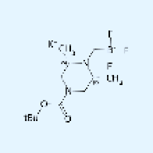 C[C@@H]1CN(C(=O)OC(C)(C)C)C[C@H](C)N1C[B-](F)(F)F.[K+]